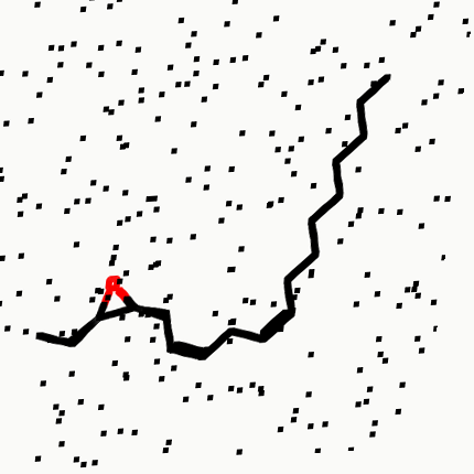 CCCCCCCC/C=C\C/C=C\C[C@@H]1O[C@@H]1CC